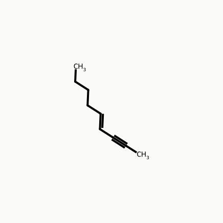 CC#C/C=C/CCCC